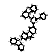 CC1(C)c2ccc(-c3nc(-c4ccccc4)nc(-c4cccc5sc6ccccc6c45)n3)cc2-c2ccc(-n3c4ccccc4c4cccnc43)cc21